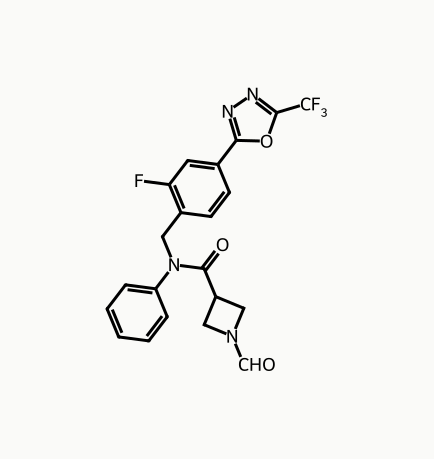 O=CN1CC(C(=O)N(Cc2ccc(-c3nnc(C(F)(F)F)o3)cc2F)c2ccccc2)C1